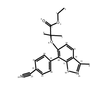 CCOC(=O)C(C)(C)Oc1ccc2c(C)nsc2c1-c1ccc(C#N)cc1